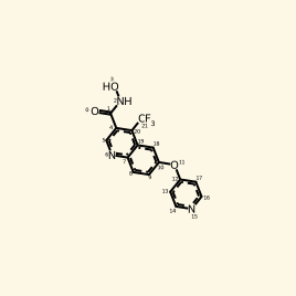 O=C(NO)c1cnc2ccc(Oc3ccncc3)cc2c1C(F)(F)F